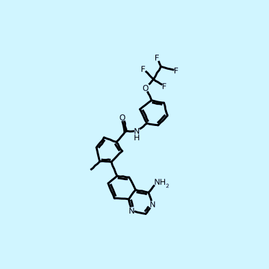 Cc1ccc(C(=O)Nc2cccc(OC(F)(F)C(F)F)c2)cc1-c1ccc2ncnc(N)c2c1